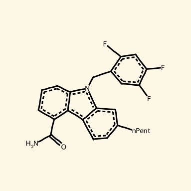 CCCCCc1c[c]c2c3c(C(N)=O)cccc3n(Cc3cc(F)c(F)cc3F)c2c1